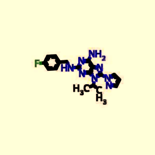 CC(C)n1c(-n2cccn2)nc2c(N)nc(NCc3ccc(F)cc3)nc21